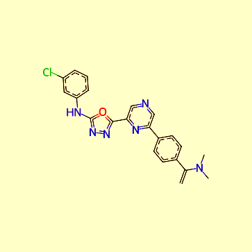 C=C(c1ccc(-c2cncc(-c3nnc(Nc4cccc(Cl)c4)o3)n2)cc1)N(C)C